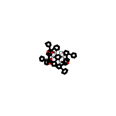 N#Cc1c(-n2c3ccccc3c3c(-c4ccccc4)cccc32)c(-n2c3ccccc3c3c(-c4ccccc4)cccc32)c(-c2cccc3c2sc2ncccc23)c(-n2c3ccccc3c3c(-c4ccccc4)cccc32)c1-n1c2ccccc2c2c(-c3ccccc3)cccc21